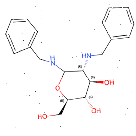 OC[C@H]1OC(NCc2ccccc2)[C@H](NCc2ccccc2)[C@@H](O)[C@@H]1O